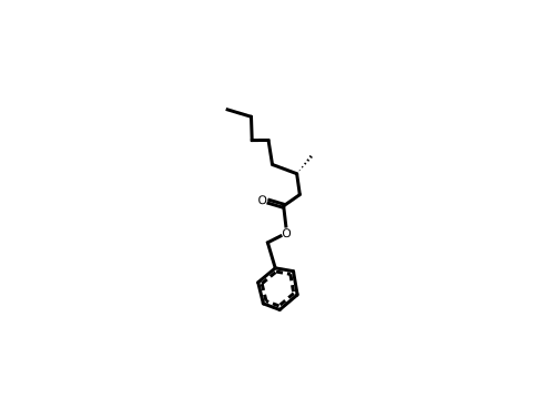 CCCCC[C@H](C)CC(=O)OCc1ccccc1